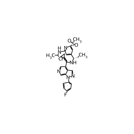 CC[C@H](NC(=C1CC1)c1cncc2c1cnn2-c1ccc(F)cc1)c1cc(NC(C)C)nc(S(C)(=O)=O)c1